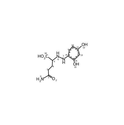 NC(=O)CCC(NNc1ccc(O)cc1O)C(=O)O